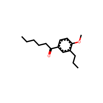 CCCCCC(=O)c1ccc(OC)c(CCC)c1